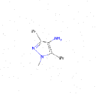 CC(C)c1nn(C)c(C(C)C)c1N